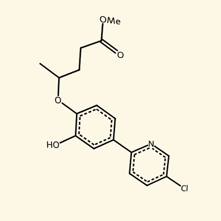 COC(=O)CCC(C)Oc1ccc(-c2ccc(Cl)cn2)cc1O